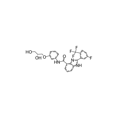 O=C(Nc1cccc(OC[C@H](O)CO)c1)c1cccc2[nH]c(-c3cc(F)ccc3C(F)(F)F)nc12